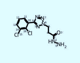 NNC(=O)CCn1nnc(-c2cccc(Cl)c2Cl)n1